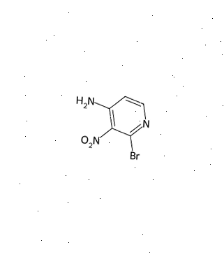 Nc1ccnc(Br)c1[N+](=O)[O-]